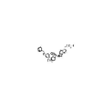 Cc1cc(OCc2cccnc2)cc(C)c1-c1cccc2c1OC[C@H]2Nc1ccc2c(c1)OC[C@H]2CC(=O)O